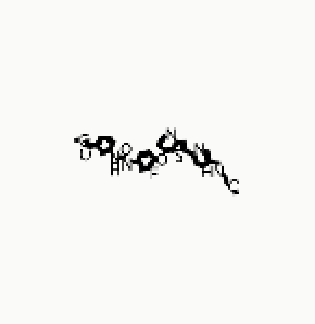 COCCNCc1ccc(-c2cc3nccc(Oc4ccc(NC(=O)Nc5cccc(C(=O)OC)c5)cc4F)c3s2)nc1